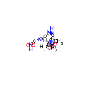 Cc1cc(-c2n[nH]c3ncc(-c4ccc(C5CCN(CCc6ccc(C7CCC(=O)NC7=O)cc6)CC5)cc4)cc23)ccc1C(C)NC(=O)c1noc(C(C)(C)C)n1